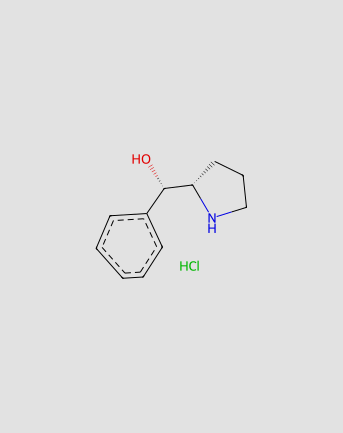 Cl.O[C@@H](c1ccccc1)[C@@H]1CCCN1